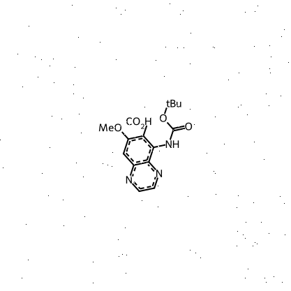 COc1cc2nccnc2c(NC(=O)OC(C)(C)C)c1C(=O)O